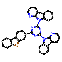 c1ccc2c(c1)sc1cc(-c3nc(-n4c5ccccc5c5cccnc54)nc(-n4c5ccccc5c5cccnc54)n3)ccc12